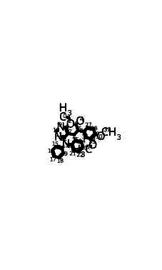 CCOC(=O)C(Cc1cncnc1N(c1ccccc1)c1ccccc1)c1ccc(OC)c(OC)c1